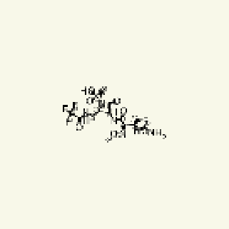 CON=C(C(=O)NC1C(=O)N(S(=O)(=O)O)C1CNC(=O)C(F)(F)F)c1csc(N)n1